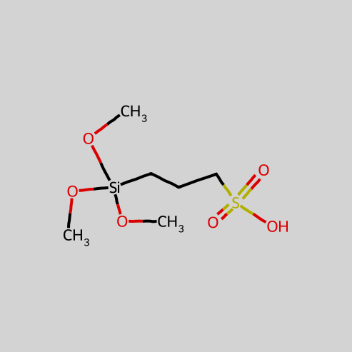 CO[Si](CCCS(=O)(=O)O)(OC)OC